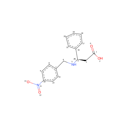 O=C(O)C[C@@H](NCc1ccc([N+](=O)[O-])cc1)c1ccccc1